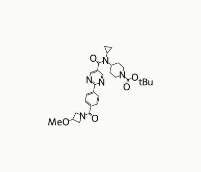 COC1CN(C(=O)c2ccc(-c3ncc(C(=O)N(C4CC4)C4CCN(C(=O)OC(C)(C)C)CC4)cn3)cc2)C1